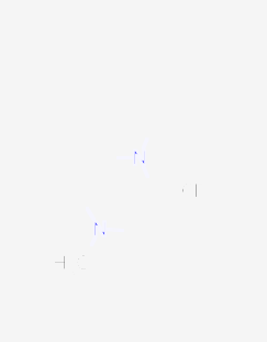 CN1CCN(c2ccccc2)C(C(F)(F)F)C1